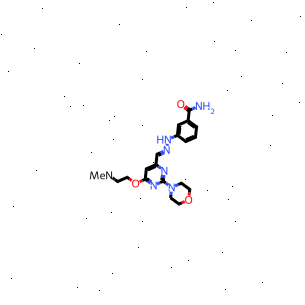 CNCCOc1cc(C=NNc2cccc(C(N)=O)c2)nc(N2CCOCC2)n1